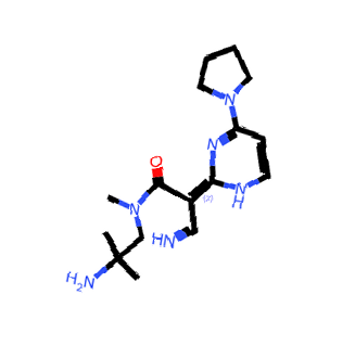 CN(CC(C)(C)N)C(=O)/C(C=N)=C1\N=C(N2CCCC2)C=CN1